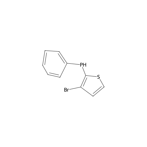 Brc1ccsc1Pc1ccccc1